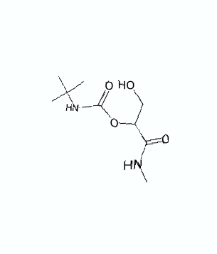 CNC(=O)C(CO)OC(=O)NC(C)(C)C